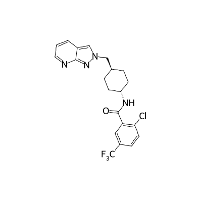 O=C(N[C@H]1CC[C@H](Cn2cc3cccnc3n2)CC1)c1cc(C(F)(F)F)ccc1Cl